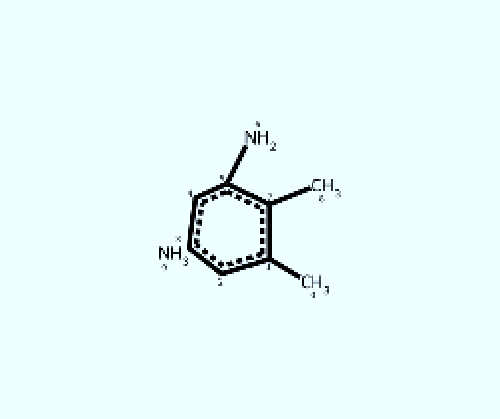 Cc1cccc(N)c1C.N